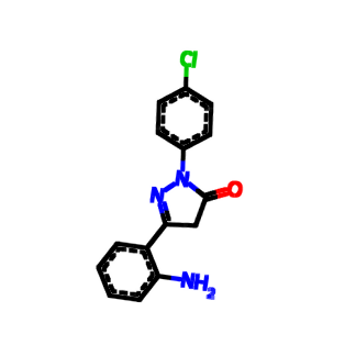 Nc1ccccc1C1=NN(c2ccc(Cl)cc2)C(=O)C1